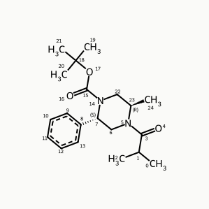 CC(C)C(=O)N1C[C@H](c2ccccc2)N(C(=O)OC(C)(C)C)C[C@H]1C